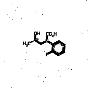 C[C@H](O)CN(C(=O)O)c1ccccc1I